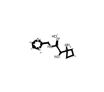 Cl.NC1(C(O)C(=O)NCc2nccs2)CCC1